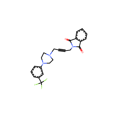 O=C1c2ccccc2C(=O)N1CC#CCN1CCN(c2cccc(C(F)(F)F)c2)CC1